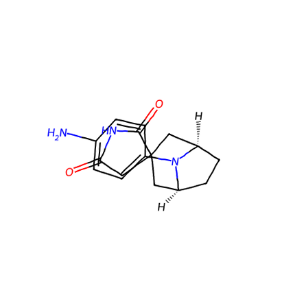 Nc1ccc(N2[C@@H]3CC[C@H]2CC2(CC(=O)NC2=O)C3)cc1